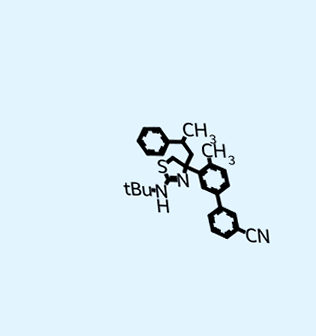 Cc1ccc(-c2cccc(C#N)c2)cc1C1(CC(C)c2ccccc2)CSC(NC(C)(C)C)=N1